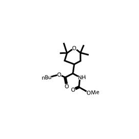 CCCCOC(=O)C(NC(=O)OC)C1CC(C)(C)OC(C)(C)C1